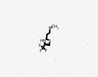 C=NCCC1NC(C(F)(F)F)=CS1